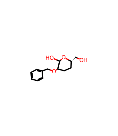 OC[C@@H]1CC[C@@H](OCc2ccccc2)C(O)O1